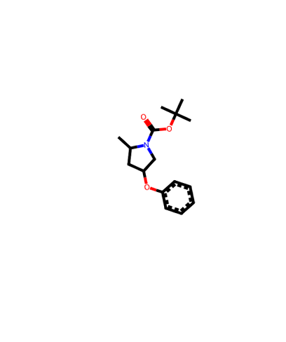 CC1CC(Oc2ccccc2)CN1C(=O)OC(C)(C)C